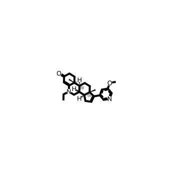 CCN1C[C@@H]2[C@H](CC[C@]3(C)C(c4cncc(OC)c4)=CC[C@@H]23)[C@@]2(C)CCC(=O)C=C12